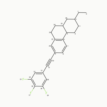 CCC1CCC2c3ccc(C#Cc4cc(F)c(F)c(F)c4)cc3CCC2C1